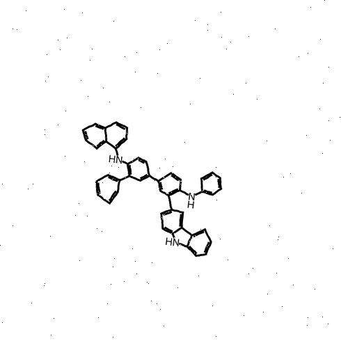 c1ccc(Nc2ccc(-c3ccc(Nc4cccc5ccccc45)c(-c4ccccc4)c3)cc2-c2ccc3[nH]c4ccccc4c3c2)cc1